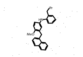 COc1ccc(Nc2ccccc2CC(C)C)cc1Cc1cccc2ccccc12